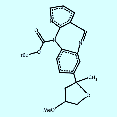 COC1COC(C)(c2ccc3c(c2)N=Cc2cccnc2N3C(=O)OC(C)(C)C)C1